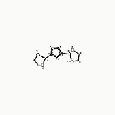 c1cc(C2OCCO2)sc1B1OCCO1